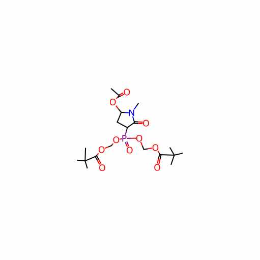 CC(=O)OC1CC(P(=O)(OCOC(=O)C(C)(C)C)OCOC(=O)C(C)(C)C)C(=O)N1C